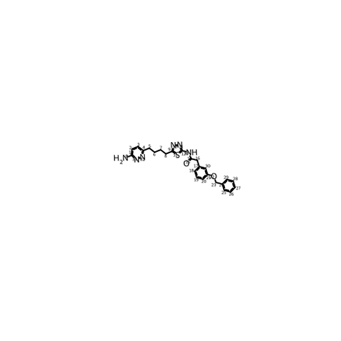 Nc1ccc(CCCCc2nnc(NC(=O)Cc3cccc(OCc4ccccc4)c3)s2)nn1